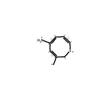 C/C1=C/C(N)=C\C=C/SC1